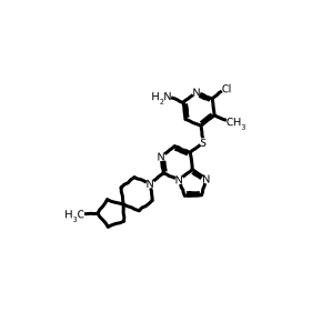 Cc1c(Sc2cnc(N3CCC4(CCC(C)C4)CC3)n3ccnc23)cc(N)nc1Cl